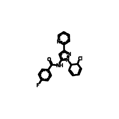 O=C(Nc1cc(-c2ccccn2)nn1C1C=CC=CC1Cl)c1ccc(F)cc1